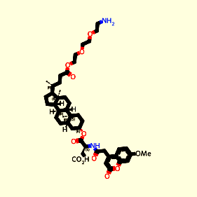 COc1ccc2c(CC(=O)N[C@@H](CC(=O)O)C(=O)O[C@@H]3CC[C@@]4(C)[C@H](CC[C@@H]5[C@@H]4CC[C@]4(C)C([C@H](C)CCC(=O)OCCOCCOCCN)CC[C@@H]54)C3)cc(=O)oc2c1